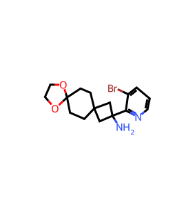 NC1(c2ncccc2Br)CC2(CCC3(CC2)OCCO3)C1